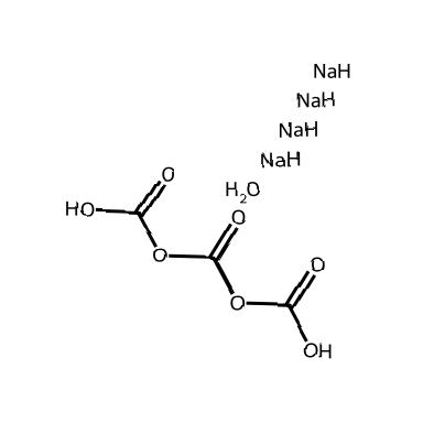 O.O=C(O)OC(=O)OC(=O)O.[NaH].[NaH].[NaH].[NaH]